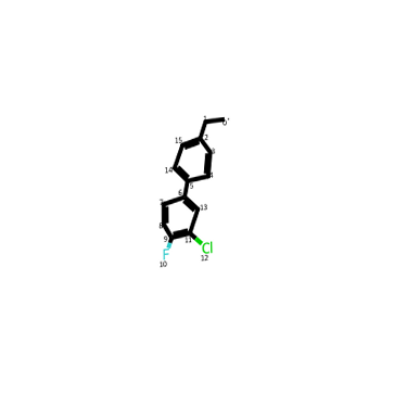 [CH2]Cc1ccc(-c2ccc(F)c(Cl)c2)cc1